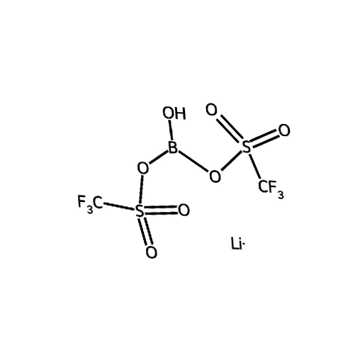 O=S(=O)(OB(O)OS(=O)(=O)C(F)(F)F)C(F)(F)F.[Li]